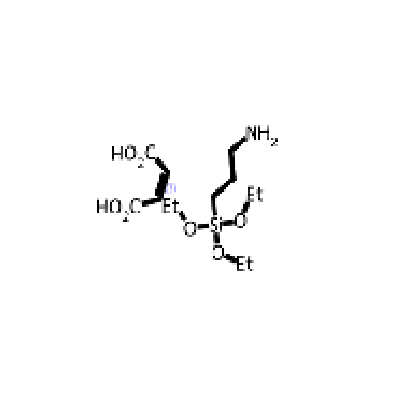 CCO[Si](CCCN)(OCC)OCC.O=C(O)/C=C\C(=O)O